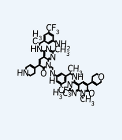 Cc1nc(N[C@H](C)c2cc(NCn3c(=O)c(C4=CCNCC4)cc4c(N[C@H](C)c5cc(N)cc(C(F)(F)F)c5)nc(C)nc43)cc(C(F)(F)F)c2)c2cc(C3=CCOCC3)c(=O)n(C)c2n1